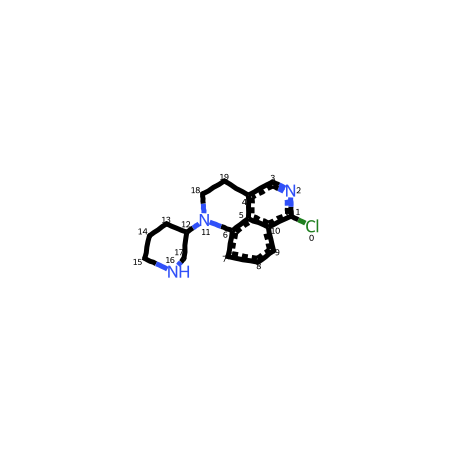 Clc1ncc2c3c(cccc13)N(C1CCCNC1)CC2